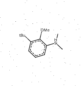 COc1c([SiH](C)C)cccc1C(C)(C)C